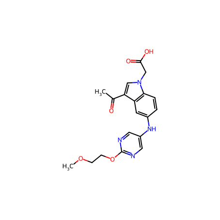 COCCOc1ncc(Nc2ccc3c(c2)c(C(C)=O)cn3CC(=O)O)cn1